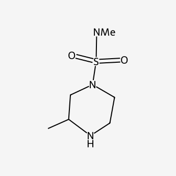 CNS(=O)(=O)N1CCNC(C)C1